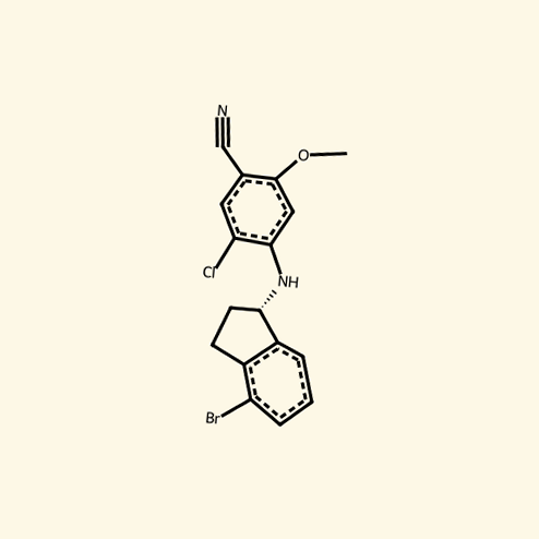 COc1cc(N[C@H]2CCc3c(Br)cccc32)c(Cl)cc1C#N